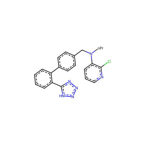 CCCN(Cc1ccc(-c2ccccc2-c2nnn[nH]2)cc1)c1cccnc1Cl